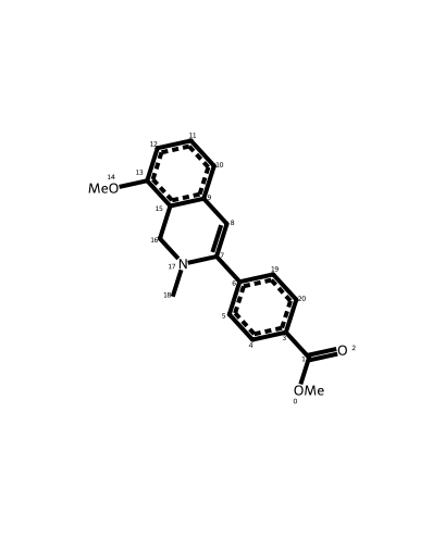 COC(=O)c1ccc(C2=Cc3cccc(OC)c3CN2C)cc1